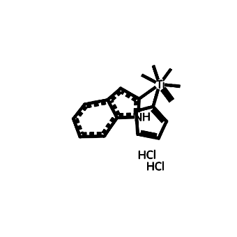 Cl.Cl.[CH2]=[Ti]([CH3])([CH3])([CH3])([CH3])([C]1=CC=CC1)[c]1cc2ccccc2[nH]1